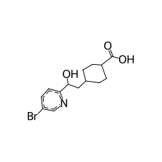 O=C(O)C1CCC(CC(O)c2ccc(Br)cn2)CC1